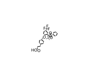 CC(C)N(c1cc(C(F)(F)F)ccc1OCc1ccc(C=CC(=O)O)cc1)S(=O)(=O)c1ccccc1